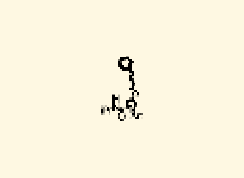 CC(=O)N1C[C@@H](OCCCCc2ccccc2)C[C@H]1C(=O)NC(C)C